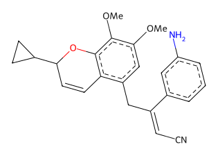 COc1cc(CC(=CC#N)c2cccc(N)c2)c2c(c1OC)OC(C1CC1)C=C2